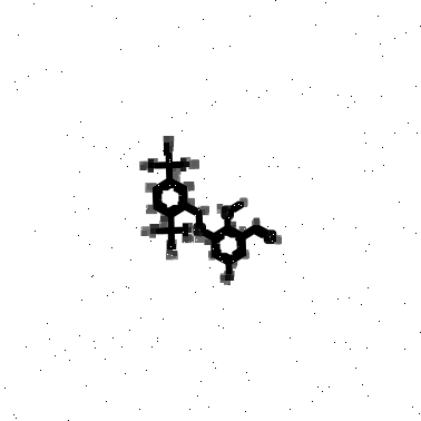 COc1c(C=O)cc(F)cc1OCc1cc(C(F)(F)F)ccc1C(F)(F)F